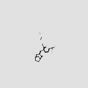 COCCOCc1nc(C(F)(F)F)ccc1/C(O)=C1/C(=O)[C@@H]2CC[C@@H](C2)C1=O